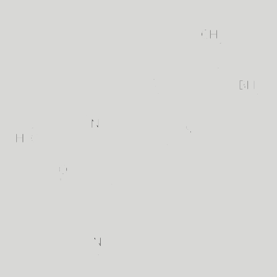 BC(=C)c1cc2nc(OC)c(C#N)cc2s1